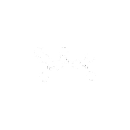 c1ccc(-n2c3ccccc3c3cc(-n4c5ccccc5c5c6c7cc8ccccc8cc7n(-c7ccccc7)c6ccc54)ccc32)cc1